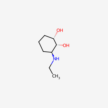 CCN[C@H]1CCC[C@H](O)[C@@H]1O